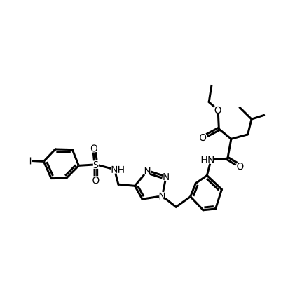 CCOC(=O)C(CC(C)C)C(=O)Nc1cccc(Cn2cc(CNS(=O)(=O)c3ccc(I)cc3)nn2)c1